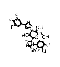 CSc1nnc([C@@H]2O[C@H](CO)[C@H](O)[C@H](n3cc(-c4cc(F)c(F)c(F)c4)nn3)[C@H]2O)n1-c1ccc(Cl)c(Cl)c1